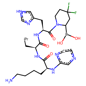 CC(C)C[C@H](NC(=O)[C@H](CCCCN)Nc1cnccn1)C(=O)N[C@@H](Cc1c[nH]cn1)C(=O)N1CCC(F)(F)CC1B(O)O